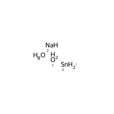 O.O.[NaH].[SnH2]